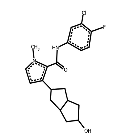 Cn1ccc(C2CC3CC(O)CC3C2)c1C(=O)Nc1ccc(F)c(Cl)c1